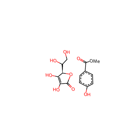 COC(=O)c1ccc(O)cc1.O=C1O[C@H](C(O)CO)C(O)=C1O